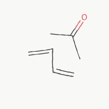 C=CC=C.CC(C)=O